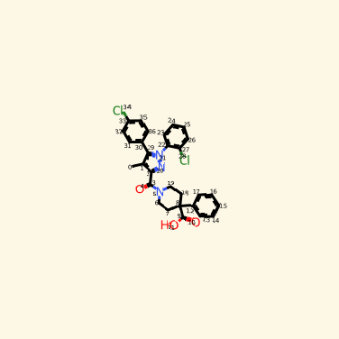 Cc1c(C(=O)N2CCC(C(=O)O)(c3ccccc3)CC2)nn(-c2ccccc2Cl)c1-c1ccc(Cl)cc1